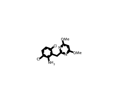 COc1cc(OC)nc(Cc2c(Cl)ccc(Cl)c2N)n1